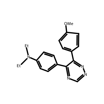 CCN(CC)c1ccc(-c2ncnnc2-c2ccc(OC)cc2)cc1